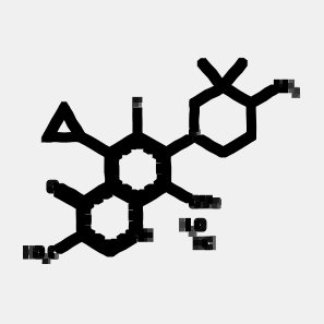 COc1c(N2CCC(N)C(C)(C)C2)c(F)c(C2CC2)c2c(=O)c(C(=O)O)c[nH]c12.Cl.O